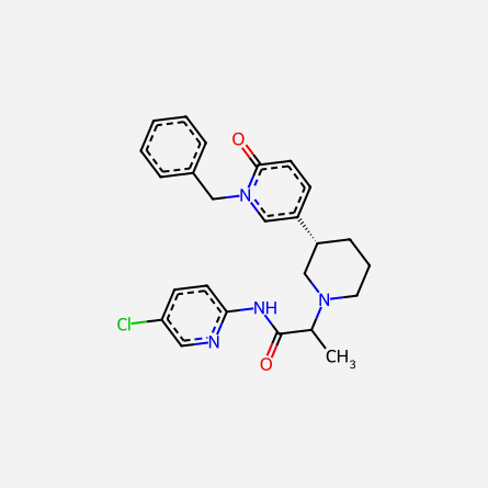 CC(C(=O)Nc1ccc(Cl)cn1)N1CCC[C@@H](c2ccc(=O)n(Cc3ccccc3)c2)C1